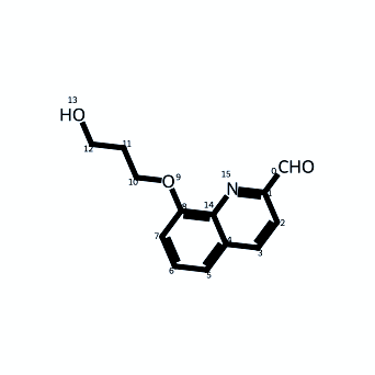 O=Cc1ccc2cccc(OCCCO)c2n1